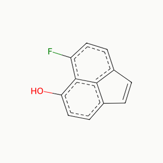 Oc1ccc2c3c(ccc(F)c13)C=C2